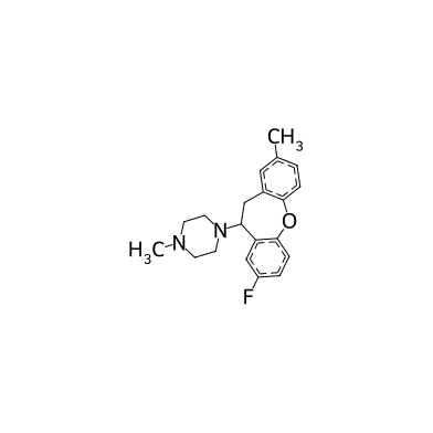 Cc1ccc2c(c1)CC(N1CCN(C)CC1)c1cc(F)ccc1O2